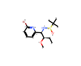 CC[C@@H](OC)[C@H](N[S+]([O-])C(C)(C)C)c1cccc(Br)n1